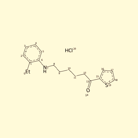 CCc1ccccc1NCCCCCC(=O)c1cccs1.Cl